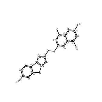 Cc1nc(CCc2cn3c(n2)-c2ccc(F)cc2C3)nc2c(F)cc(F)cc12